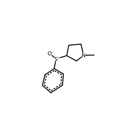 CN1CCC([S+]([O-])c2ccccc2)C1